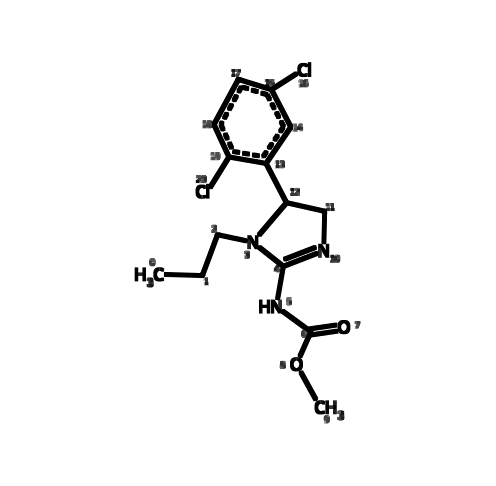 CCCN1C(NC(=O)OC)=NCC1c1cc(Cl)ccc1Cl